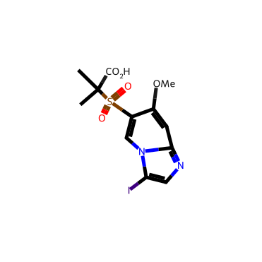 COc1cc2ncc(I)n2cc1S(=O)(=O)C(C)(C)C(=O)O